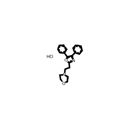 Cl.c1ccc(-c2nc(CCN3CCOCC3)oc2-c2ccccc2)cc1